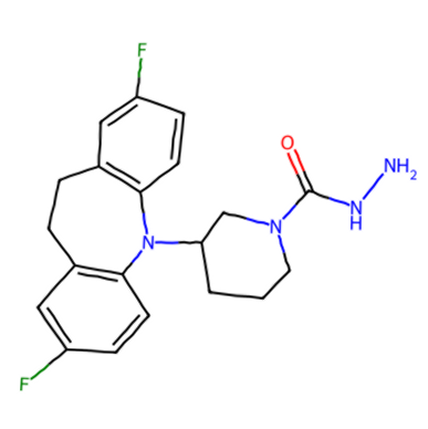 NNC(=O)N1CCCC(N2c3ccc(F)cc3CCc3cc(F)ccc32)C1